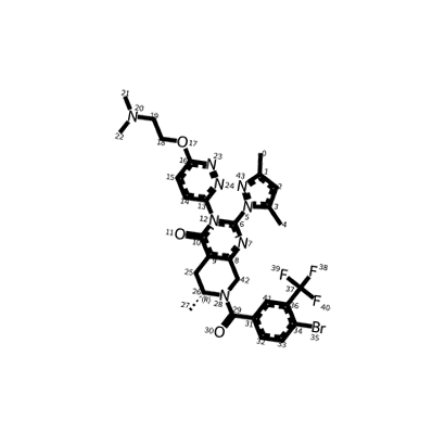 Cc1cc(C)n(-c2nc3c(c(=O)n2-c2ccc(OCCN(C)C)nn2)C[C@@H](C)N(C(=O)c2ccc(Br)c(C(F)(F)F)c2)C3)n1